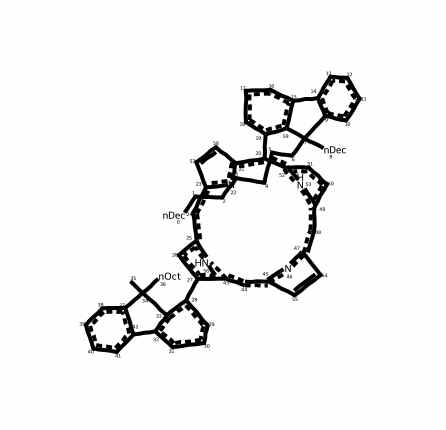 CCCCCCCCCCCCCCCCC1(CCCCCCCCCC)c2ccccc2-c2cccc(-c3c4nc(cc5cc(-c6cccc7c6C(C)(CCCCCCCC)c6ccccc6-7)c(cc6nc(cc7ccc3[nH]7)C=C6)[nH]5)C=C4)c21